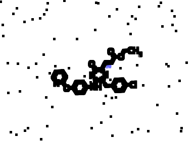 CCOC(=O)/C=C/c1nn(Cc2ccc(Cl)cc2)c(Nc2ccc(Oc3ccccn3)cc2)nc1=O